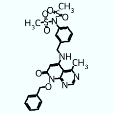 Cc1ncnc2c1c(NCc1cccc(N(S(C)(=O)=O)S(C)(=O)=O)c1)cc(=O)n2OCc1ccccc1